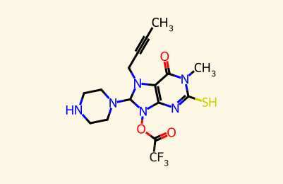 CC#CCN1c2c(nc(S)n(C)c2=O)N(OC(=O)C(F)(F)F)C1N1CCNCC1